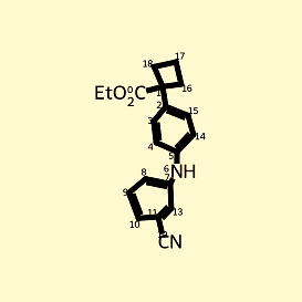 CCOC(=O)C1(c2ccc(Nc3cccc(C#N)c3)cc2)CCC1